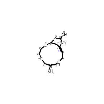 CC1CCC/C=C2\CC(CCCCC1)SC(C#N)N2